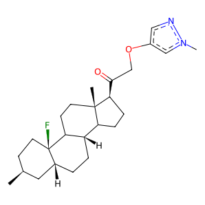 C[C@H]1CC[C@]2(F)C3CC[C@@]4(C)C(CC[C@@H]4C(=O)COc4cnn(C)c4)[C@@H]3CC[C@@H]2C1